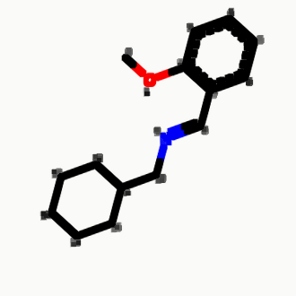 COc1ccccc1C=NCC1CCCCC1